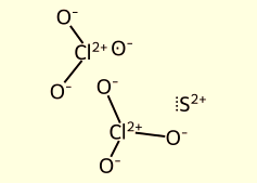 [O-][Cl+2]([O-])[O-].[O-][Cl+2]([O-])[O-].[S+2]